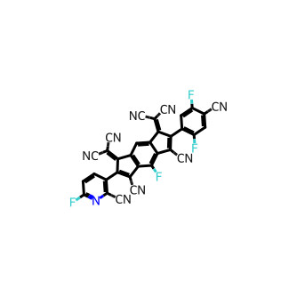 N#CC(C#N)=C1C(c2cc(F)c(C#N)cc2F)=C(C#N)c2c1cc1c(c2F)C(C#N)=C(c2ccc(F)nc2C#N)C1=C(C#N)C#N